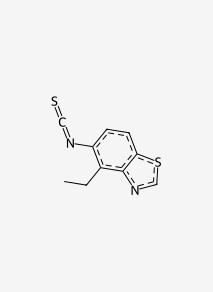 CCc1c(N=C=S)ccc2scnc12